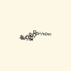 CCCCCCCCCCCCCCOc1ccc(NC(=O)c2ccc(C[n+]3ccsc3)cc2)cc1Cl.[Br-]